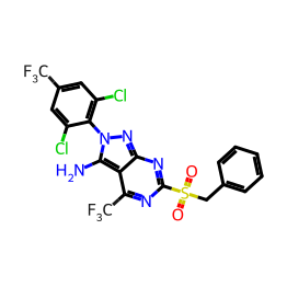 Nc1c2c(C(F)(F)F)nc(S(=O)(=O)Cc3ccccc3)nc2nn1-c1c(Cl)cc(C(F)(F)F)cc1Cl